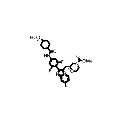 COC(=O)N1CCO[C@@H](Cc2c(-c3c(F)cc(NC(=O)C4CCC(C(=O)O)CC4)cc3F)nc3cc(C)ccn23)C1